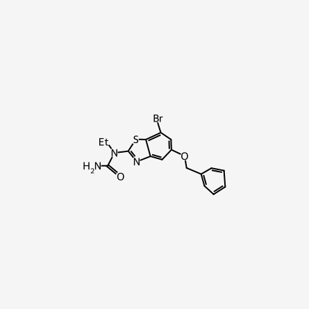 CCN(C(N)=O)c1nc2cc(OCc3ccccc3)cc(Br)c2s1